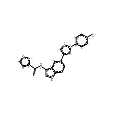 O=C(Nc1c[nH]c2ccc(-c3cnn(-c4ccc(C(F)(F)F)cc4)c3)cc12)c1ccon1